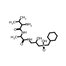 CC(NC(=O)C(N)C(C)C)C(=O)NCC(O)CP(=O)(O)CC1CCCCC1